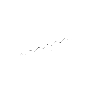 CCCCCCCCCCCCCCCCCCOC(C)=O.[CaH2]